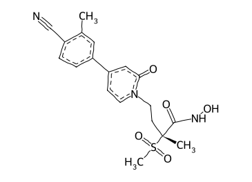 Cc1cc(-c2ccn(CC[C@](C)(C(=O)NO)S(C)(=O)=O)c(=O)c2)ccc1C#N